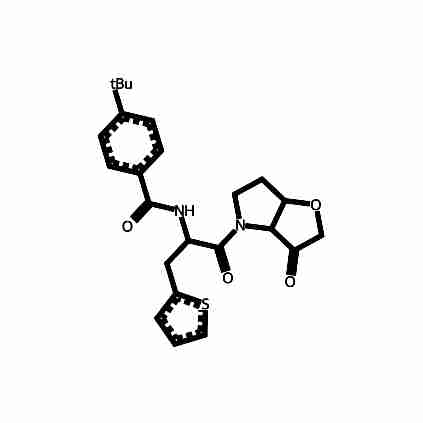 CC(C)(C)c1ccc(C(=O)NC(Cc2cccs2)C(=O)N2CCC3OCC(=O)C32)cc1